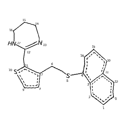 c1ccc2c(SCc3ccsc3C3=NCCCN3)cccc2c1